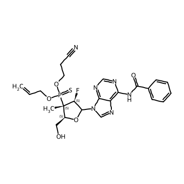 C=CCOP(=S)(OCCC#N)[C@@]1(C)[C@H](CO)OC(n2cnc3c(NC(=O)c4ccccc4)ncnc32)[C@@H]1F